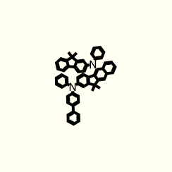 CC1(C)C2=CC3C=CC=CC3C(N(c3ccccc3)c3ccc4c(c3)C(C)(C)c3ccccc3-4)=C2c2ccc(N(c3ccccc3)c3ccc(-c4ccccc4)cc3)cc21